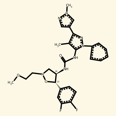 COCCN1C[C@@H](NC(=O)Nc2c(C)c(-c3cnn(C)c3)nn2-c2ccccc2)[C@H](c2ccc(F)c(F)c2)O1